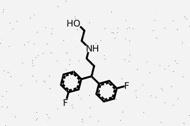 OCCNCCC(c1cccc(F)c1)c1cccc(F)c1